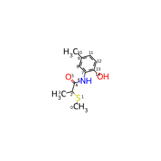 CSC(C)C(=O)Nc1cc(C)ccc1O